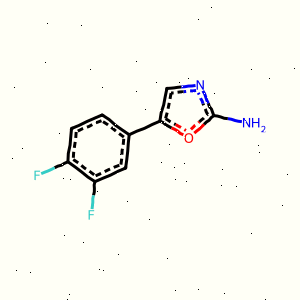 Nc1ncc(-c2ccc(F)c(F)c2)o1